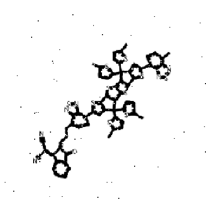 Cc1ccc(C2(c3ccc(C)s3)c3cc(-c4ccc(C)c5nsnc45)sc3-c3sc4c5c(sc4c32)-c2sc(-c3ccc(CC/C=C4\C(=O)c6ccccc6C4=C(C#N)C#N)c4nsnc34)cc2C5(c2ccc(C)s2)c2ccc(C)s2)s1